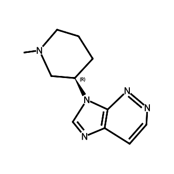 CN1CCC[C@@H](n2cnc3ccnnc32)C1